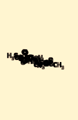 CCOC(=O)c1ccc(-c2cnc(C(C)(C)NC(=O)c3ccc4c(C5CCCCC5)c5n(c4c3)CCOc3cc(OC)ccc3-5)[nH]2)cc1